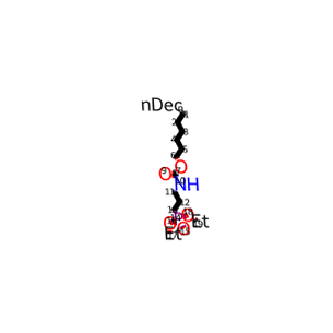 CCCCCCCCCCCCCCCCOC(=O)NCCCP(=O)(OCC)OCC